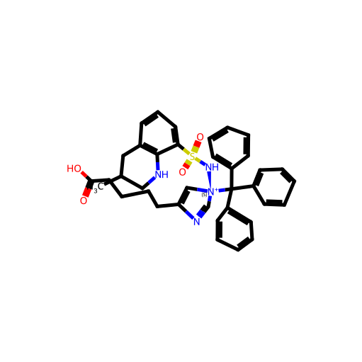 CC1CNc2c(cccc2S(=O)(=O)N[N@@+]2(C(c3ccccc3)(c3ccccc3)c3ccccc3)C=NC(CCCCC(=O)O)=C2)C1